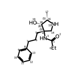 CCC(=O)N[C@@]1(CCCc2ccccc2)CN[C@@H](C)[C@H]1O